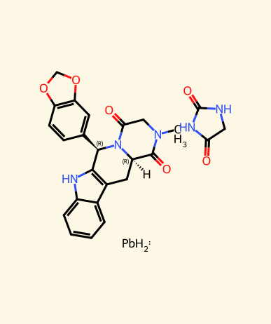 CN1CC(=O)N2[C@H](c3ccc4c(c3)OCO4)c3[nH]c4ccccc4c3C[C@@H]2C1=O.O=C1CNC(=O)N1.[PbH2]